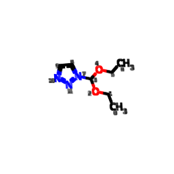 CCOC(OCC)n1ccnn1